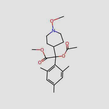 COC(=O)C(OC(C)=O)(c1c(C)cc(C)cc1C)C1CCN(OC)CC1